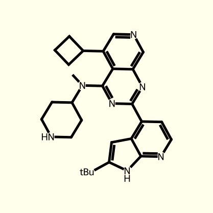 CN(c1nc(-c2ccnc3[nH]c(C(C)(C)C)cc23)nc2cncc(C3CCC3)c12)C1CCNCC1